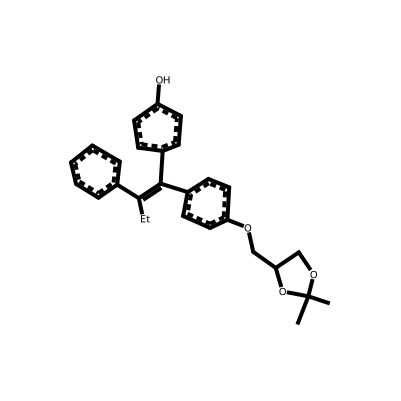 CCC(=C(c1ccc(O)cc1)c1ccc(OCC2COC(C)(C)O2)cc1)c1ccccc1